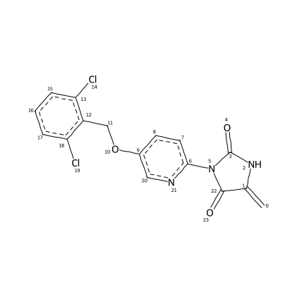 C=C1NC(=O)N(c2ccc(OCc3c(Cl)cccc3Cl)cn2)C1=O